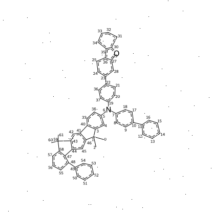 CC1(C)c2cc(N(c3ccc(-c4ccccc4)cc3)c3ccc(-c4ccc5c(c4)oc4ccccc45)cc3)ccc2-c2cc3c(cc21)-c1c(-c2ccccc2)cccc1C3(C)C